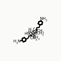 CC(C)(CCc1ccc(N)cc1)[Si](C)(C)O[Si](C)(C)C(C)(C)CCc1ccc(N)cc1